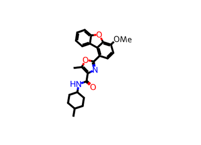 COc1ccc(-c2nc(C(=O)NC3CCC(C)CC3)c(C)o2)c2c1oc1ccccc12